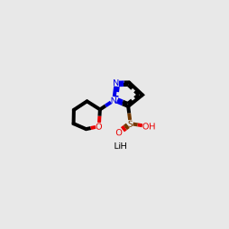 O=S(O)c1ccnn1C1CCCCO1.[LiH]